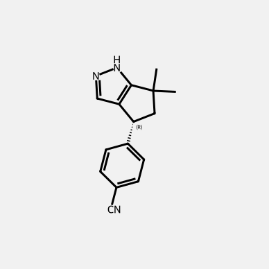 CC1(C)C[C@H](c2ccc(C#N)cc2)c2cn[nH]c21